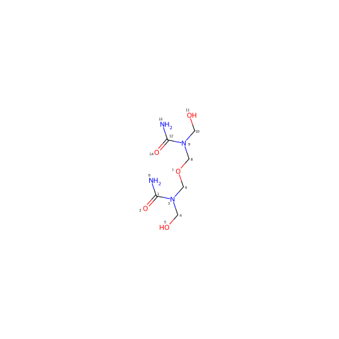 NC(=O)N(CO)COCN(CO)C(N)=O